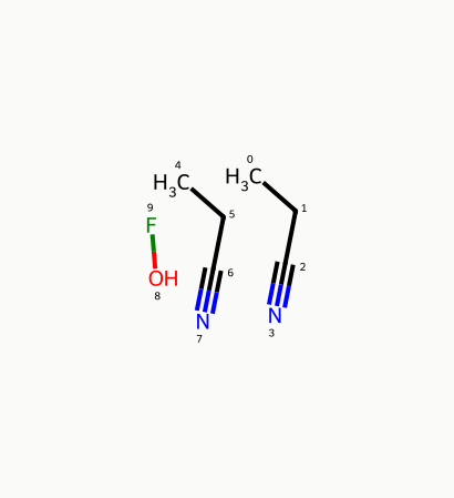 CCC#N.CCC#N.OF